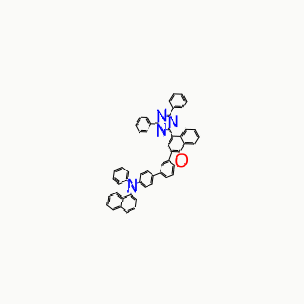 c1ccc(-c2nc(-c3ccccc3)nc(-c3cc4c5cc(-c6ccc(N(c7ccccc7)c7cccc8ccccc78)cc6)ccc5oc4c4ccccc34)n2)cc1